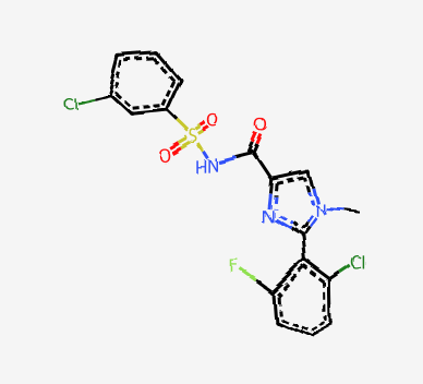 Cn1cc(C(=O)NS(=O)(=O)c2cccc(Cl)c2)nc1-c1c(F)cccc1Cl